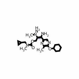 Cc1nc(/C(N)=C(\COC(=O)N(C)CC2CC2)N(C)N)cnc1OC1CCCCC1